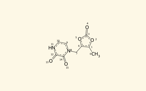 Cc1oc(=O)oc1Cn1cc[nH]c(=O)c1=O